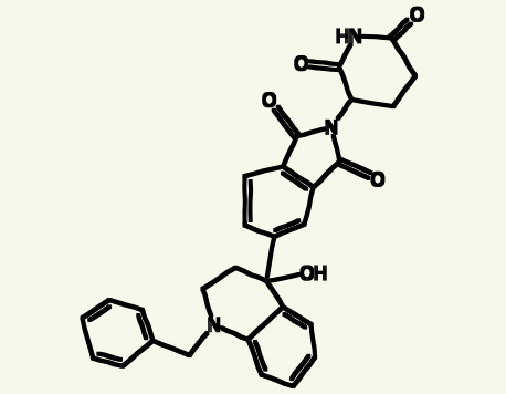 O=C1CCC(N2C(=O)c3ccc(C4(O)CCN(Cc5ccccc5)c5ccccc54)cc3C2=O)C(=O)N1